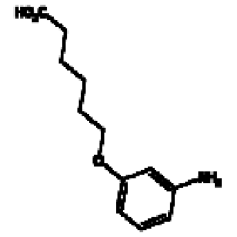 Nc1cccc(OCCCCCC(=O)O)c1